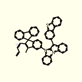 C=C/C=C\C1=C(C)c2cc(-n3c4ccccc4n4c5ccccc5c(-c5ccc6sc7ccccc7c6c5)c34)ccc2C12c1ccccc1-c1ccccc12